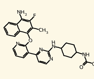 Cc1c(F)c(N)c2ccccc2c1Oc1ncccc1-c1ccnc(NC2CCC(NC(=O)O)CC2)n1